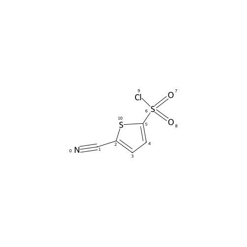 N#Cc1ccc(S(=O)(=O)Cl)s1